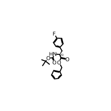 CC(C)(C)OC(=O)N[C@@H](Cc1ccc(F)cc1)C(=O)OCc1ccccc1